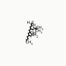 CCCCC(CN)CC(O)CC(CCCC)CNC(C)C